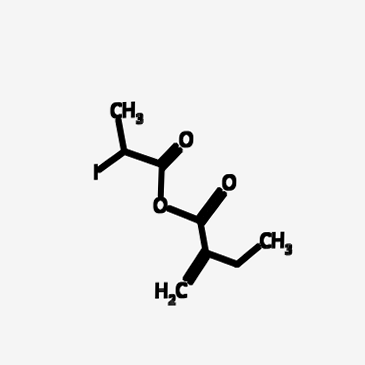 C=C(CC)C(=O)OC(=O)C(C)I